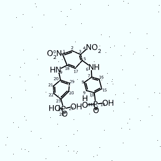 O=[N+]([O-])c1cc([N+](=O)[O-])c(Nc2ccc(P(=O)(O)O)cc2)cc1Nc1ccc(P(=O)(O)O)cc1